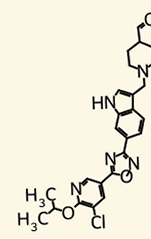 CC(C)Oc1ncc(-c2nc(-c3ccc4c(CN5CCC(C=O)CC5)c[nH]c4c3)no2)cc1Cl